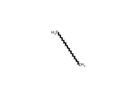 CCCCCCCCC=CC=CCCCCCCCCCCCCCC